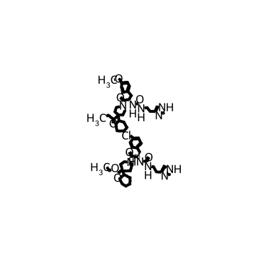 CCC(=O)C1(C2CCCCC2)CCN(C(=O)C(Cc2ccc(OC)cc2)NC(=O)NCCc2c[nH]cn2)CC1.CCOC(=O)C1(C2CCCCC2)CCN(C(=O)[C@@H](Cc2ccc(Cl)cc2)NC(=O)NCCc2c[nH]cn2)CC1